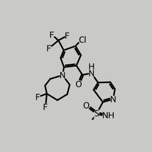 C[S@@](=N)(=O)c1cc(NC(=O)c2cc(Cl)c(C(F)(F)F)cc2N2CCCC(F)(F)CC2)ccn1